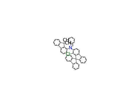 CC1(C)c2ccccc2-c2cccc(N(c3ccccc3)c3ccc4c(c3Cl)C3(c5ccccc5-c5ccccc53)c3ccccc3-4)c21